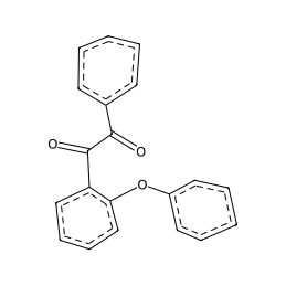 O=C(C(=O)c1ccccc1Oc1ccccc1)c1ccccc1